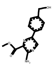 COC(=O)c1nc(-c2ccc(CO)cc2)cnc1N